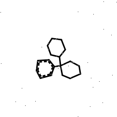 [c]1ccccc1C1(C2CCCCC2)CCCCC1